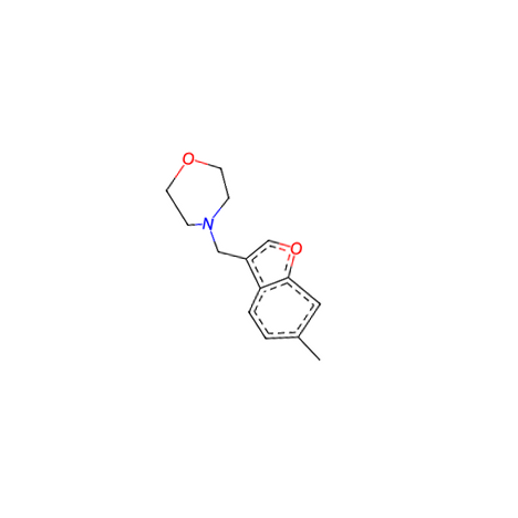 Cc1ccc2c(CN3CCOCC3)coc2c1